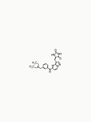 CCN(CC)Cc1cccc(Nc2ccn3ncc(C=C4NC(=O)NC4=O)c3n2)c1